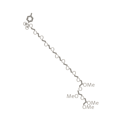 COCC(COCC(COCC(COCCOCCOCCOCCOCCOCCOCCOCCOCCOS(=O)(=O)c1ccc(C)cc1)OC)OC)OC